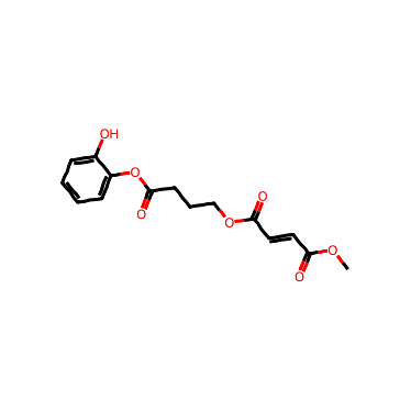 COC(=O)/C=C/C(=O)OCCCC(=O)Oc1ccccc1O